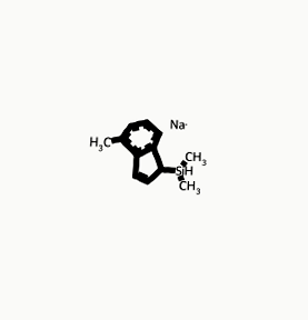 Cc1cccc2c1C=CC2[SiH](C)C.[Na]